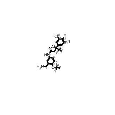 NCc1cc(NC2=NOC(c3cc(Cl)c(F)c(Cl)c3)(C(F)(F)F)C2)ccc1OC(F)(F)F